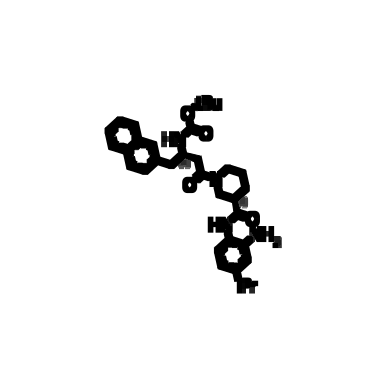 CC(C)c1ccc(NC(=O)[C@@H]2CCCN(C(=O)C[C@@H](Cc3ccc4ccccc4c3)NC(=O)OC(C)(C)C)C2)c(N)c1